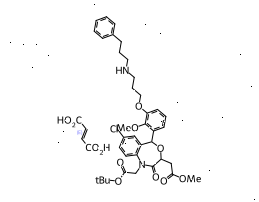 COC(=O)CC1OC(c2cccc(OCCCNCCCc3ccccc3)c2OC)c2cc(Cl)ccc2N(CC(=O)OC(C)(C)C)C1=O.O=C(O)/C=C/C(=O)O